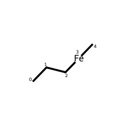 CC[CH2][Fe][CH3]